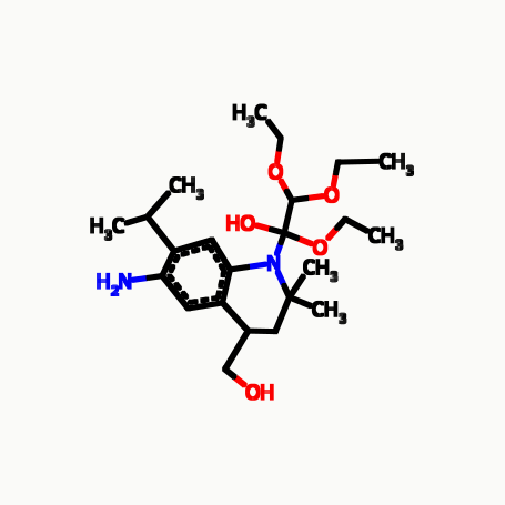 CCOC(OCC)C(O)(OCC)N1c2cc(C(C)C)c(N)cc2C(CO)CC1(C)C